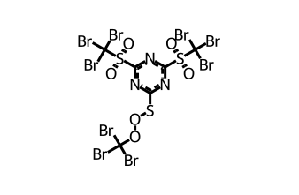 O=S(=O)(c1nc(SOOC(Br)(Br)Br)nc(S(=O)(=O)C(Br)(Br)Br)n1)C(Br)(Br)Br